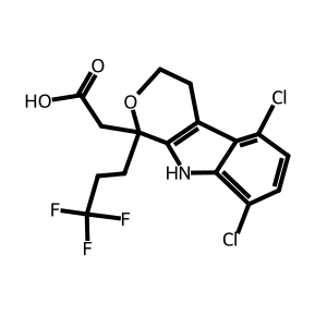 O=C(O)CC1(CCC(F)(F)F)OCCc2c1[nH]c1c(Cl)ccc(Cl)c21